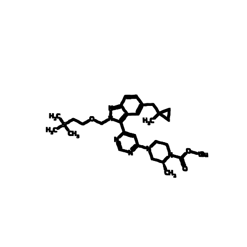 C[C@H]1CN(c2cc(-c3c4cc(CC5(C)CC5)ccc4nn3COCC[Si](C)(C)C)ncn2)CCN1C(=O)OC(C)(C)C